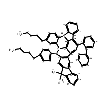 CCCCCc1ccc(N2B3c4cc(CCCCC)ccc4-n4c5ccccc5c5c(-c6ccccc6-c6ccccc6)cc(c3c54)-c3cc4c(cc32)C(C)(C)c2ccccc2-4)cc1